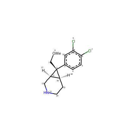 COC[C@]1(c2ccc(Cl)c(Cl)c2)[C@@H]2CNCC[C@@H]21